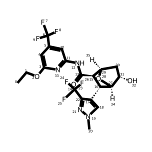 CCOc1cc(C(F)(F)F)cc(NC(=O)[C@@H]2[C@@H](c3cn(C)nc3C(F)(F)F)[C@H]3O[C@@H]2C[C@@H]3O)n1